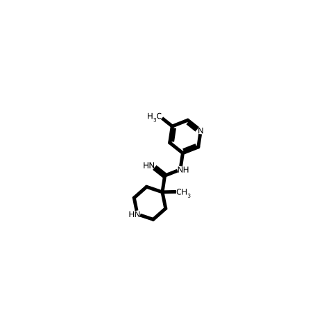 Cc1cncc(NC(=N)C2(C)CCNCC2)c1